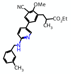 CCOC(=O)C(C)Cc1cc(-c2ccc(NCc3cccc(C)c3)nc2)cc(C#N)c1OC